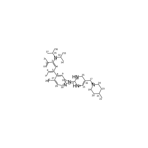 C=C(C)/C(=C\C(=CC)C(=C/C1=NN1C1NC=C(CN2CCC(C)CC2)CN1)/C(F)=C\C)N(C(C)C)C(C)C